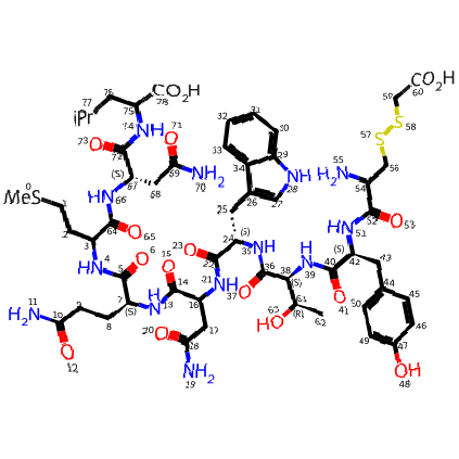 CSCCC(NC(=O)[C@H](CCC(N)=O)NC(=O)C(CC(N)=O)NC(=O)[C@H](Cc1c[nH]c2ccccc12)NC(=O)[C@@H](NC(=O)[C@H](Cc1ccc(O)cc1)NC(=O)C(N)CSSCC(=O)O)[C@@H](C)O)C(=O)N[C@@H](CC(N)=O)C(=O)NC(CC(C)C)C(=O)O